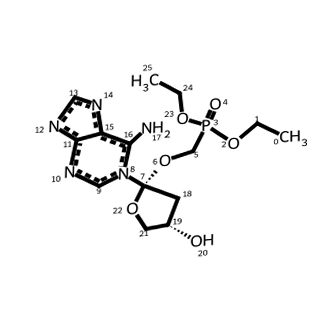 CCOP(=O)(CO[C@]1(n2cnc3ncnc-3c2N)C[C@H](O)CO1)OCC